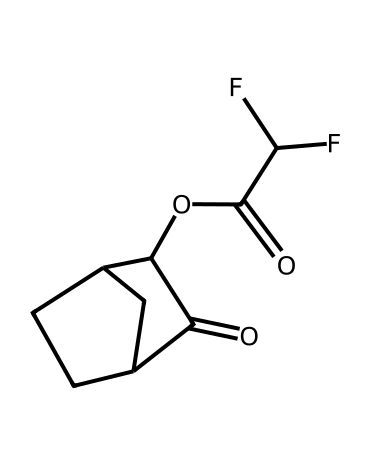 O=C(OC1C(=O)C2CCC1C2)C(F)F